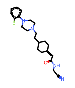 N#CCNC(=O)C=C1CCC(CCN2CCN(c3ccccc3F)CC2)CC1